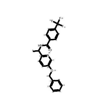 CC(NC(=O)c1c[c]c(C(F)(F)F)cc1)c1ccc(OCc2ccccc2)cn1